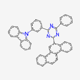 c1ccc(-c2nc(-c3cccc(-n4c5ccccc5c5ccccc54)c3)nc(-c3cc4c5ccccc5ccc4c4ccccc34)n2)cc1